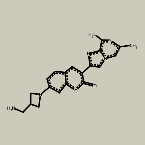 Cc1cn2cc(-c3cc4ccc(N5CC(CN)C5)cc4oc3=O)nc2c(C)n1